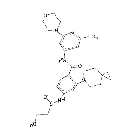 Cc1cc(NC(=O)c2ccc(N[S+]([O-])CCO)cc2N2CCC3(CC2)CC3)nc(N2CCOCC2)n1